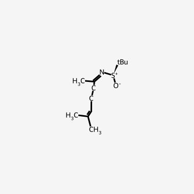 CC(C)=CCC/C(C)=N\[S@+]([O-])C(C)(C)C